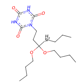 CCCCOC(CCn1c(=O)[nH]c(=O)[nH]c1=O)(OCCCC)[SiH2]CCC